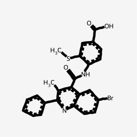 CSc1cc(C(=O)O)ccc1NC(=O)c1c(C)c(-c2ccccc2)nc2ccc(Br)cc12